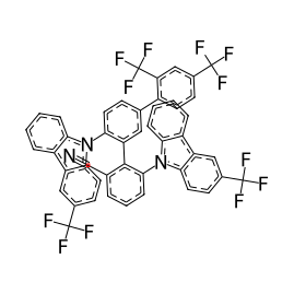 N#Cc1cccc(-n2c3ccccc3c3cc(C(F)(F)F)ccc32)c1-c1cc(-c2ccc(C(F)(F)F)cc2C(F)(F)F)ccc1-n1c2ccccc2c2cc(C(F)(F)F)ccc21